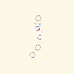 CC12CC(C)(C(=O)Nc3nc(Cc4ccc(-c5ccncc5)cc4)cs3)C(c3ccccc31)n1ccnc12